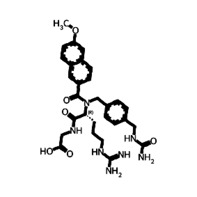 COc1ccc2cc(C(=O)N(Cc3ccc(CNC(N)=O)cc3)[C@H](CCCNC(=N)N)C(=O)NCC(=O)O)ccc2c1